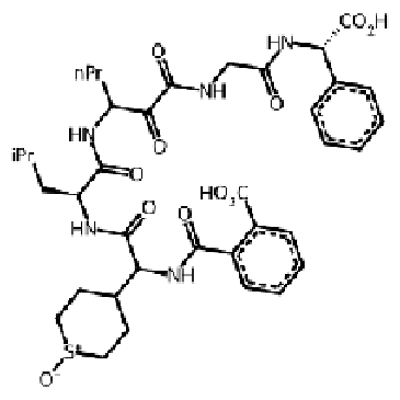 CCCC(NC(=O)[C@H](CC(C)C)NC(=O)[C@@H](NC(=O)c1ccccc1C(=O)O)C1CC[S+]([O-])CC1)C(=O)C(=O)NCC(=O)N[C@H](C(=O)O)c1ccccc1